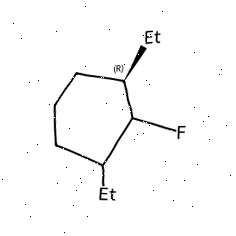 CCC1CCC[C@@H](CC)C1F